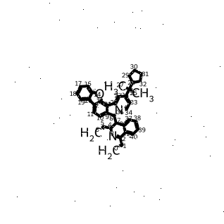 C=CC1=NC(C=C)C(C2c3ccc4c(oc5ccccc54)c3-c3cc(C(C)(C)C4CCCC4)cc[n+]32)c2ccccc21